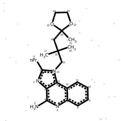 CCCc1nc2c(N)nc3ccccc3c2n1CC(C)(C)CC1(C)OCCO1